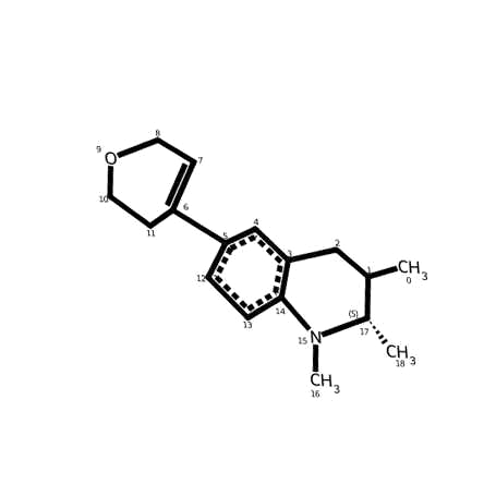 CC1Cc2cc(C3=CCOCC3)ccc2N(C)[C@H]1C